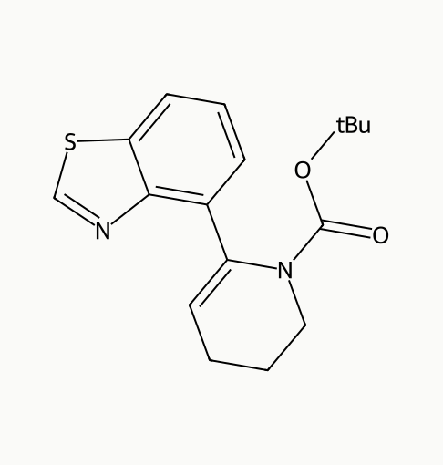 CC(C)(C)OC(=O)N1CCCC=C1c1cccc2scnc12